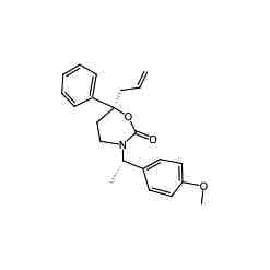 C=CC[C@@]1(c2ccccc2)CCN([C@@H](C)c2ccc(OC)cc2)C(=O)O1